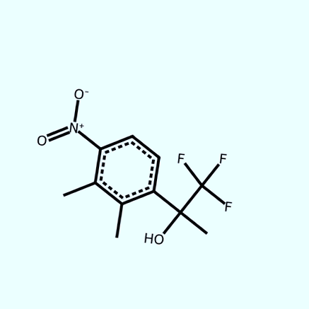 Cc1c([N+](=O)[O-])ccc(C(C)(O)C(F)(F)F)c1C